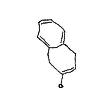 [O]C1=CCc2ccccc2C1